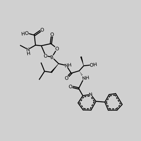 CNC(C(=O)O)C1OB([C@H](CC(C)C)NC(=O)[C@@H](NC(=O)c2cccc(-c3ccccc3)n2)[C@@H](C)O)OC1=O